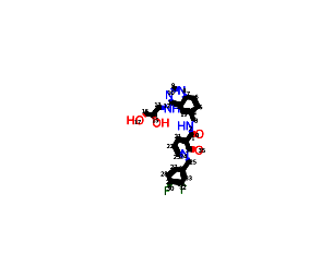 O=C(NCc1ccc2ncnc(NCC(O)CO)c2c1)c1cccn(Cc2ccc(F)c(F)c2)c1=O